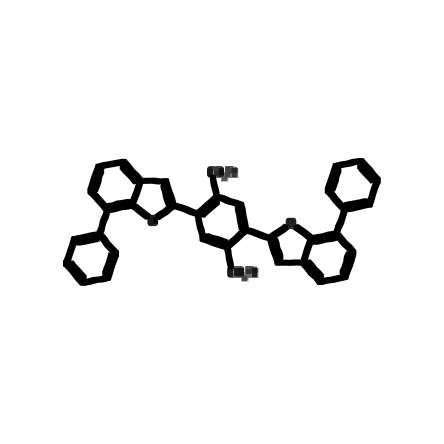 CCOC(=O)c1cc(-c2cc3cccc(-c4ccccc4)c3o2)c(C(=O)OCC)cc1-c1cc2cccc(-c3ccccc3)c2o1